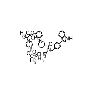 CC(C)(C)OC(=O)N1CCN(C(=O)C(C)(C)Oc2cccc(N3CCC[C@@H](C(=O)N(Cc4ccc(-c5c[nH]c6ccccc56)cc4)C4CC4)C3)c2)CC1